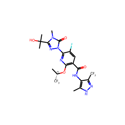 Cc1[nH]nc(C(F)(F)F)c1NC(=O)c1cc(F)c(-n2nc(C(C)(C)O)n(C)c2=O)nc1O[C@@H](C)C(F)(F)F